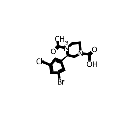 CC(=O)N1CCN(C(=O)O)C[C@H]1c1cc(Cl)cc(Br)c1